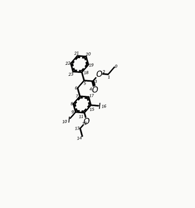 CCOC(=O)C(Cc1cc(I)c(OCC)c(I)c1)c1ccccc1